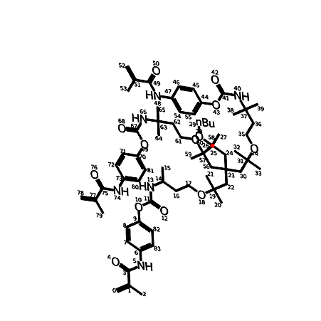 C=C(C)C(=O)Nc1ccc(OC(=O)NC(C)CCOC(C)(C)CC(CC(C)(C)OCCCC)(CC(C)(C)OCCC(C)(C)NC(=O)Oc2ccc(NC(=O)C(=C)C)cc2)CC(C)(C)OCCC(C)(C)NC(=O)Oc2ccc(NC(=O)C(=C)C)cc2)cc1